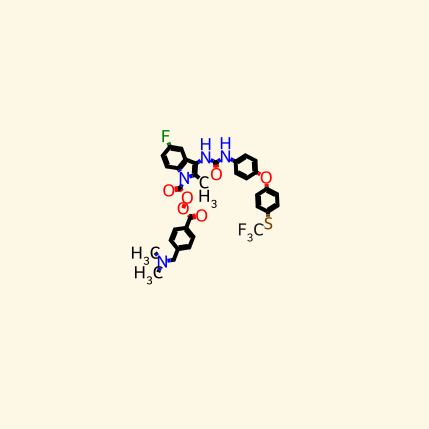 Cc1c(NC(=O)Nc2ccc(Oc3ccc(SC(F)(F)F)cc3)cc2)c2cc(F)ccc2n1C(=O)OOC(=O)c1ccc(CN(C)C)cc1